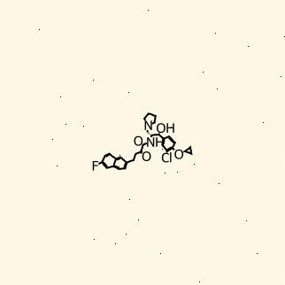 O=C(CCc1ccc2cc(F)ccc2c1)C(=O)N[C@H](CN1CCCC1)[C@H](O)c1ccc(OC2CC2)c(Cl)c1